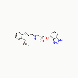 COc1ccccc1OCCNC[C@H](O)COc1cccc2[nH]nnc12